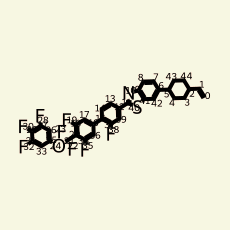 C=CC1CCC(c2ccc3nc(-c4ccc(-c5cc(F)c(C(F)(F)Oc6cc(F)c(F)c(F)c6)c(F)c5)c(F)c4)sc3c2)CC1